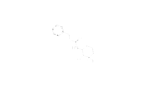 [O]C1C(NC(=O)OCc2ccccc2)CCCC1(F)F